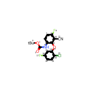 CC(C)(C)OC(=O)Nc1ccc(F)c(C#N)c1Oc1cc(F)ccc1Cl